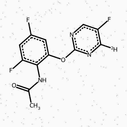 [2H]c1nc(Oc2cc(F)cc(F)c2NC(C)=O)ncc1F